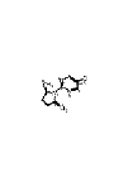 CC1CCC(=O)N1c1ncc(Cl)cn1